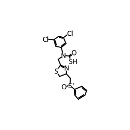 O=C(S)N(CC1=NC(C[S+]([O-])c2ccccc2)CS1)c1cc(Cl)cc(Cl)c1